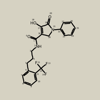 O=C(NCCCc1ccccc1C(F)(F)F)C1=C(O)C(=O)N(c2ccccc2)C1